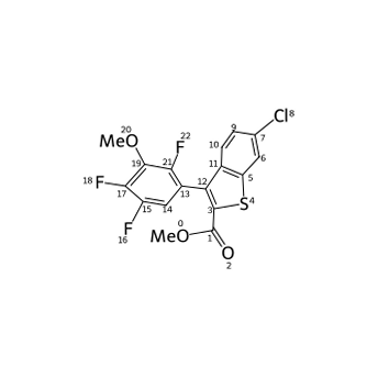 COC(=O)c1sc2cc(Cl)ccc2c1-c1cc(F)c(F)c(OC)c1F